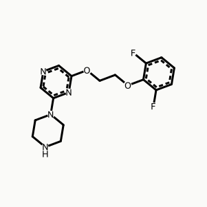 Fc1cccc(F)c1OCCOc1cncc(N2CCNCC2)n1